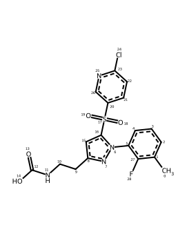 Cc1cccc(-n2nc(CCNC(=O)O)cc2S(=O)(=O)c2ccc(Cl)nc2)c1F